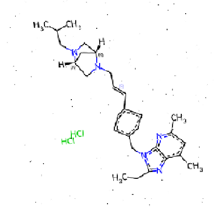 CCc1nc2c(C)cc(C)nc2n1Cc1ccc(/C=C/CN2C[C@H]3C[C@@H]2CN3CC(C)C)cc1.Cl.Cl